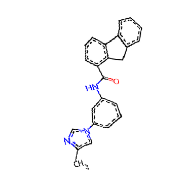 Cc1cn(-c2cccc(NC(=O)c3cccc4c3Cc3ccccc3-4)c2)cn1